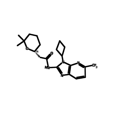 CC1(C)CCC[C@H](CC(=O)Nc2nc3ccc(C(F)(F)F)nc3n2C2CCC2)O1